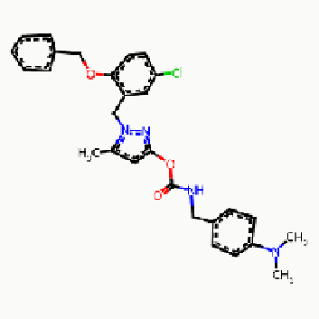 Cc1cc(OC(=O)NCc2ccc(N(C)C)cc2)nn1Cc1cc(Cl)ccc1OCc1ccccc1